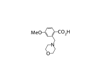 COc1ccc(C(=O)O)c(CN2CCOCC2)c1